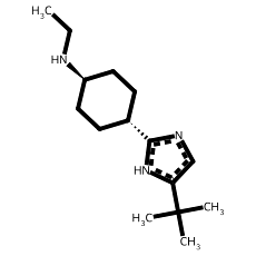 CCN[C@H]1CC[C@H](c2ncc(C(C)(C)C)[nH]2)CC1